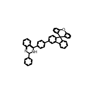 c1ccc(C2N=c3ccccc3=C(c3ccc(-c4ccc5c(c4)-c4ccccc4C54c5ccccc5Oc5ccccc54)cc3)N2)cc1